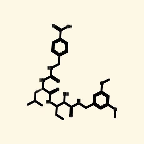 CCC(NC(=O)[C@H](CC(C)C)NC(=O)NCc1ccc(C(=O)O)cc1)C(O)C(=O)NCc1cc(OC)cc(OC)c1